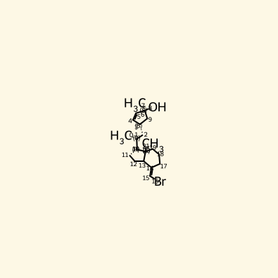 C[C@H](C[C@@H]1C=C[C@@](C)(O)C1)[C@H]1CCC2C(=CBr)CCC[C@]21C